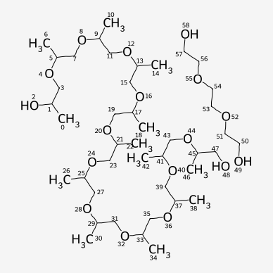 CC(O)COC(C)COC(C)COC(C)COC(C)COC(C)COC(C)COC(C)COC(C)COC(C)COC(C)COC(C)CO.OCCOCCOCCO